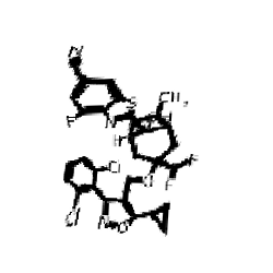 CC1C[C@@H]2CC(OCc3c(-c4c(Cl)cccc4Cl)noc3C3CC3)(C(F)F)CC1[C@]2(O)c1nc2c(F)cc(C#N)cc2s1